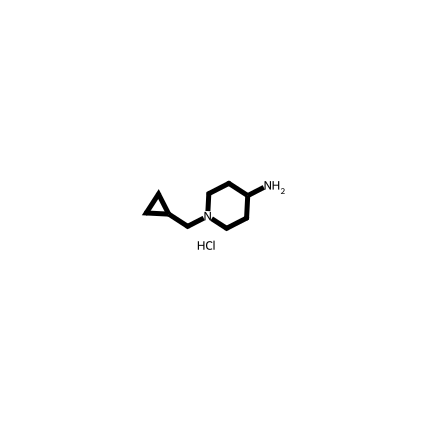 Cl.NC1CCN(CC2CC2)CC1